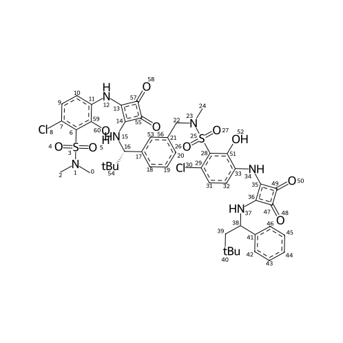 CN(C)S(=O)(=O)c1c(Cl)ccc(Nc2c(N[C@H](c3cccc(CN(C)S(=O)(=O)c4c(Cl)ccc(Nc5c(NC(CC(C)(C)C)c6ccccc6)c(=O)c5=O)c4O)c3)C(C)(C)C)c(=O)c2=O)c1O